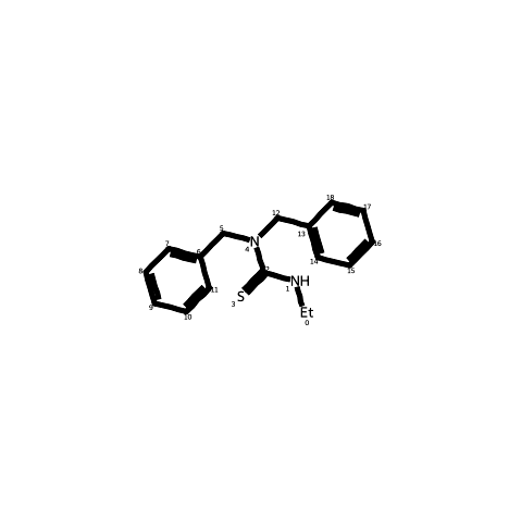 CCNC(=S)N(Cc1ccccc1)Cc1ccccc1